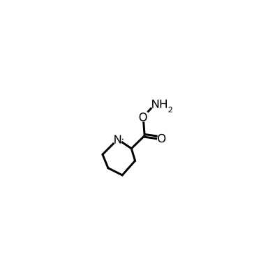 NOC(=O)C1CCCC[N]1